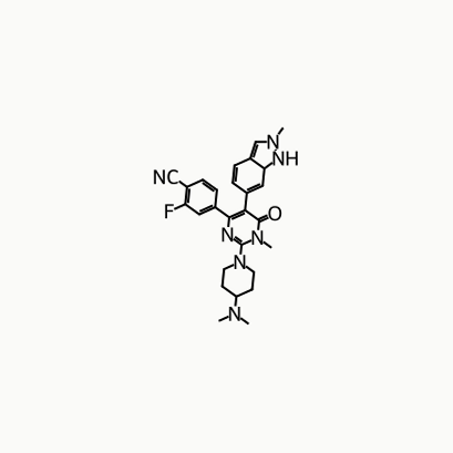 CN1C=C2C=CC(c3c(-c4ccc(C#N)c(F)c4)nc(N4CCC(N(C)C)CC4)n(C)c3=O)=CC2N1